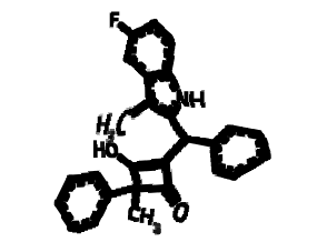 Cc1c(C(C2=C(O)C(C)(c3ccccc3)C2=O)c2ccccc2)[nH]c2ccc(F)cc12